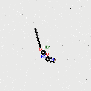 Br.CCCCCCCCCCCCCCOc1ccc(C(=O)Nc2cccc(CN3CSC=C3C)c2)cc1